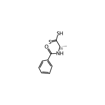 C[C@H](NC(=O)c1ccccc1)C(=S)S